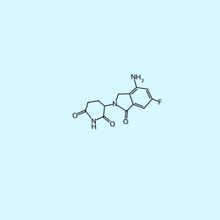 Nc1cc(F)cc2c1CN(C1CCC(=O)NC1=O)C2=O